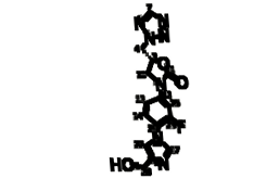 O=C1O[C@@H](Cn2ncnn2)CN1c1ccc(-n2cnc(CO)c2)c(F)c1